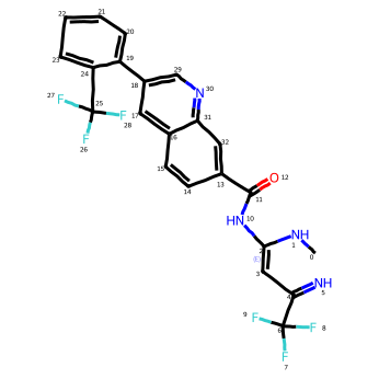 CN/C(=C\C(=N)C(F)(F)F)NC(=O)c1ccc2cc(-c3ccccc3C(F)(F)F)cnc2c1